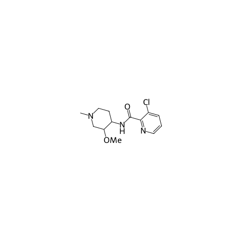 COC1CN(C)CCC1NC(=O)c1ncccc1Cl